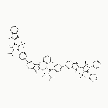 Cc1cccc(C)c1C1N(c2ccc(-c3ccc4nc(N5C(C(C)(C)C)N(c6ccccc6)C(c6ccccc6)[C@@H]5C)n(C)c4c3)cc2)C(C(C)C)[C@H](C)N1c1nc2cc(-c3ccc(N4C(C(C)C)[C@H](C)N(c5nc6ccccc6n5C)C4C(C)(C)C)cc3)ccc2n1C